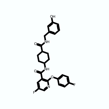 O=C(NC1CCC(C(=O)NCc2cccc(O)c2)CC1)c1cc(F)cnc1Oc1ccc(F)cc1